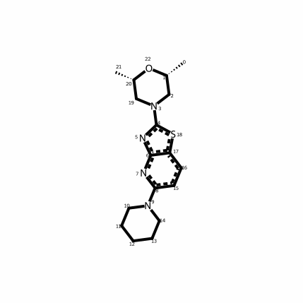 C[C@@H]1CN(c2nc3nc(N4CCCCC4)ccc3s2)C[C@H](C)O1